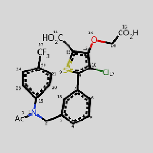 CC(=O)N(Cc1cccc(-c2sc(C(=O)O)c(OCC(=O)O)c2Cl)c1)c1ccc(C(F)(F)F)cc1